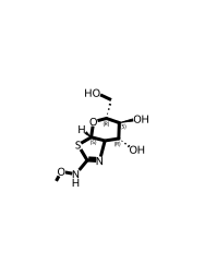 CONC1=NC2[C@@H](O)[C@H](O)[C@@H](CO)O[C@H]2S1